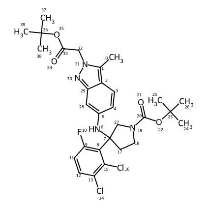 Cc1c2ccc(NC3(c4c(F)ccc(Cl)c4Cl)CCN(C(=O)OC(C)(C)C)C3)cc2nn1CC(=O)OC(C)(C)C